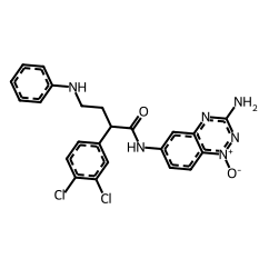 Nc1nc2cc(NC(=O)C(CCNc3ccccc3)c3ccc(Cl)c(Cl)c3)ccc2[n+]([O-])n1